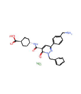 Cl.NCc1ccc(-c2cc(C(=O)N[C@H]3CC[C@H](C(=O)O)CC3)c(=O)n(Cc3ccccc3)n2)cc1